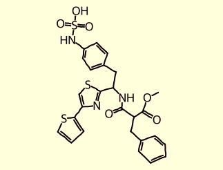 COC(=O)C(Cc1ccccc1)C(=O)NC(Cc1ccc(NS(=O)(=O)O)cc1)c1nc(-c2cccs2)cs1